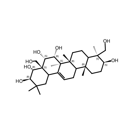 CC1(C)CC2C3=CCC4[C@@]5(C)CC[C@H](O)[C@](C)(CO)C5CC[C@@]4(C)[C@]3(C)[C@@H](O)[C@@H](O)[C@@]2(CO)[C@@H](O)[C@@H]1O